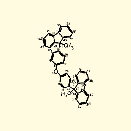 CC1(c2ccc(Oc3ccc(C4(C)c5ccccc5-c5ccccc54)cc3)cc2)c2ccccc2-c2ccccc21